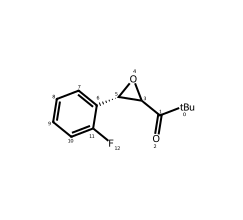 CC(C)(C)C(=O)C1O[C@H]1c1ccccc1F